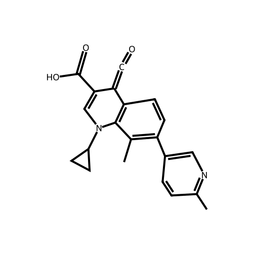 Cc1ccc(-c2ccc3c(c2C)N(C2CC2)C=C(C(=O)O)C3=C=O)cn1